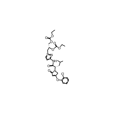 CCOC(=O)OC[C@@H](Cn1ccc(NC(=O)[C@H](CC(C)C)N2CC(Oc3ccccc3Cl)=CC2=O)n1)OC(=O)OCC